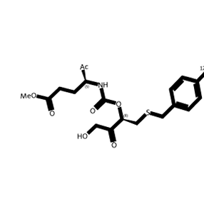 COC(=O)CC[C@H](NC(=O)O[C@@H](CSCc1ccc([125I])cc1)C(=O)CO)C(C)=O